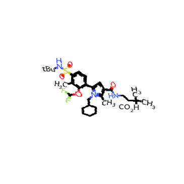 Cc1c(S(=O)(=O)NC(C)(C)C)ccc(-c2cc(C(=O)NCCC(C)(C)C(=O)O)c(C)n2CC2CCCCC2)c1OC(F)F